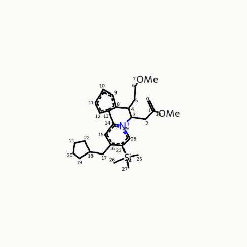 C=C(CC1C(CCOC)c2ccccc2-c2cc(CC3CCCC3)c([Si](C)(C)C)c[n+]21)OC